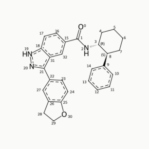 O=C(N[C@@H]1CCCC[C@H]1c1ccccc1)c1ccc2[nH]nc(-c3ccc4c(c3)CCO4)c2c1